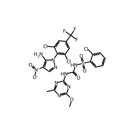 COc1nc(C)nc(NC(=O)NS(=O)(=O)c2ccccc2Cl)n1.Nc1c([N+](=O)[O-])cnn1-c1c(Cl)cc(C(F)(F)F)cc1Cl